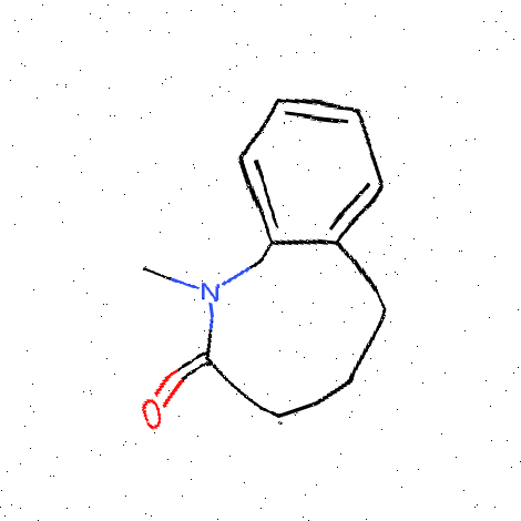 CN1C(=O)[CH]CCc2ccccc21